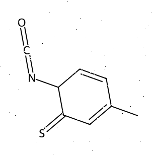 CC1=CC(=S)C(N=C=O)C=C1